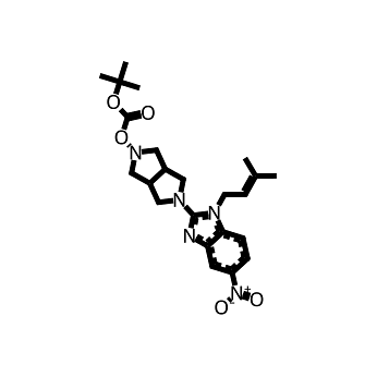 CC(C)=CCn1c(N2CC3CN(OC(=O)OC(C)(C)C)CC3C2)nc2cc([N+](=O)[O-])ccc21